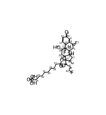 C[C@@H]1C[C@H]2[C@@H]3C[C@H](F)C4=CC(=O)C=C[C@]4(C)[C@@]3(F)[C@@H](O)C[C@]2(C)[C@@]1(OC(=O)CCCCCCCCP(=O)(O)O)C(=O)SCF